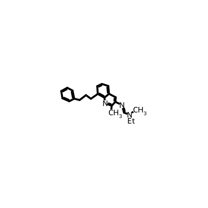 CCN(C)C=Nc1cc2cccc(CCCc3ccccc3)c2nc1C